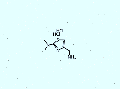 CN(C)c1nc(CN)cs1.Cl.Cl